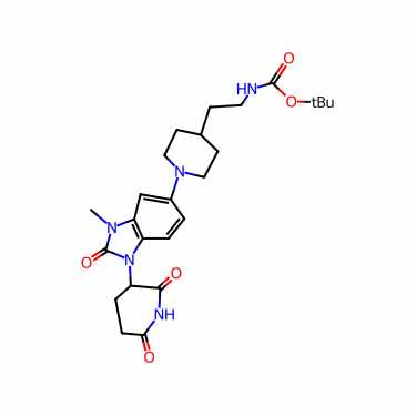 Cn1c(=O)n(C2CCC(=O)NC2=O)c2ccc(N3CCC(CCNC(=O)OC(C)(C)C)CC3)cc21